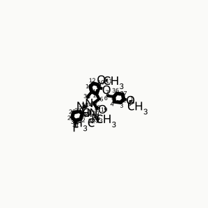 COc1ccc(COc2c(OC)ccc3c2CC(C(=O)NN(C)C)N(c2nc4ccc(F)cc4o2)C3)cc1